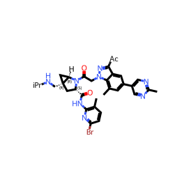 CC(=O)c1nn(CC(=O)N2[C@H](C(=O)Nc3nc(Br)ccc3C)C[C@@]3(CNC(C)C)C[C@@H]23)c2c(C)cc(-c3cnc(C)nc3)cc12